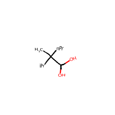 CCCC(C)(C(C)C)C(O)O